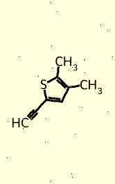 C#Cc1cc(C)c(C)s1